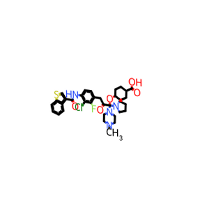 CN1CCN(C(OC2CCC(C(=O)O)CC2)(C(=O)Cc2ccc(NC(=O)c3csc4ccccc34)c(Cl)c2F)N2CCCC2)CC1